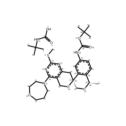 CC(C)(C)NC(=O)O.CSc1nc2c(c(N3CCCOCC3)n1)CO[C@@]1(CO[C@@H](C)c3ccc(NC(=O)OC(C)(C)C)cc31)C2